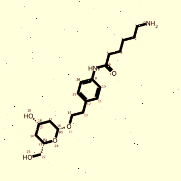 NCCCCCC(=O)Nc1ccc(CCO[C@H]2C[C@@H](O)C[C@@H](CO)O2)cc1